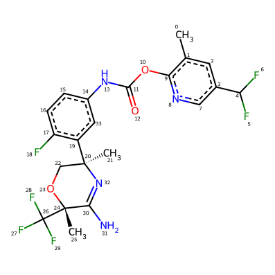 Cc1cc(C(F)F)cnc1OC(=O)Nc1ccc(F)c([C@]2(C)CO[C@@](C)(C(F)(F)F)C(N)=N2)c1